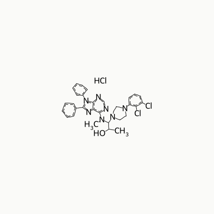 CC(O)C(N1CCN(c2cccc(Cl)c2Cl)CC1)N(C)c1ncnc2c1nc(-c1ccccc1)n2-c1ccccc1.Cl